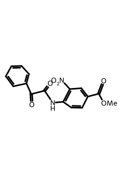 COC(=O)c1ccc(NC(=O)C(=O)c2ccccc2)c([N+](=O)[O-])c1